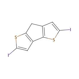 Ic1cc2c(s1)Cc1cc(I)sc1-2